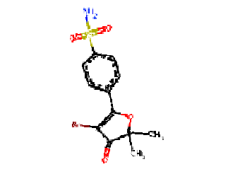 CC1(C)OC(c2ccc(S(N)(=O)=O)cc2)=C(Br)C1=O